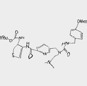 COc1ccc(CNC(=O)N(CCN(C)C)Cc2ccc(C(=O)NC3=CSCC3NC(=O)OC(C)(C)C)nc2)cc1